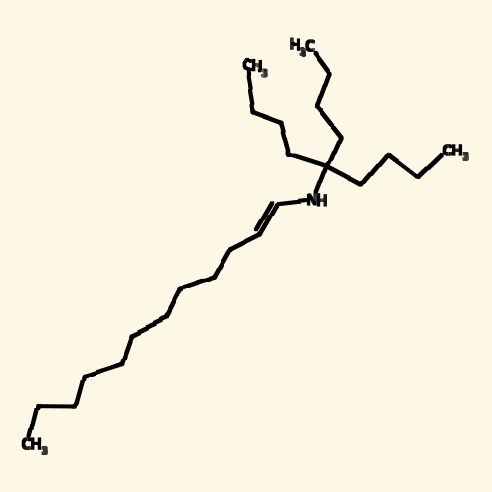 CCCCCCCCCCC=CNC(CCCC)(CCCC)CCCC